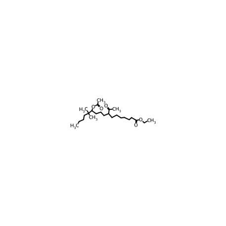 CCCCC(C)(C)C(CCCC(CCCCCCC(=O)OCC)C(C)=O)OC(C)=O